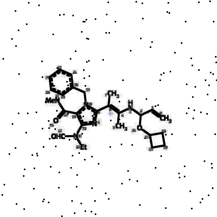 C=CC(N/C(C)=C(\C)c1nc(N(C=O)CC)c(C(=O)NC)n1Cc1ccccc1)OC1CCC1